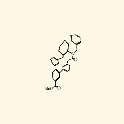 COC(=O)c1cccc(-c2cccc(CC(=O)N(Cc3ccccc3)C3CCCCC3Cc3ccccc3)c2)c1